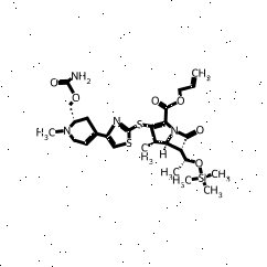 C=CCOC(=O)C1=C(Sc2nc(C3=CCN(C)[C@H](COC(N)=O)C3)cs2)[C@H](C)[C@@H]2[C@@H]([C@@H](C)O[Si](C)(C)C)C(=O)N12